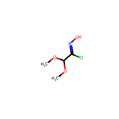 COC(OC)/C(Cl)=N/O